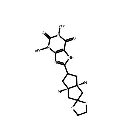 CCCn1c(=O)c2[nH]c(C3C[C@@H]4CC5(C[C@@H]4C3)SCCS5)nc2n(CCC)c1=O